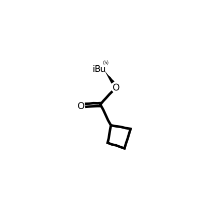 C[CH][C@H](C)OC(=O)C1CCC1